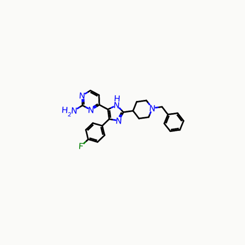 Nc1nccc(-c2[nH]c(C3CCN(Cc4ccccc4)CC3)nc2-c2ccc(F)cc2)n1